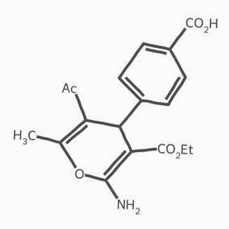 CCOC(=O)C1=C(N)OC(C)=C(C(C)=O)C1c1ccc(C(=O)O)cc1